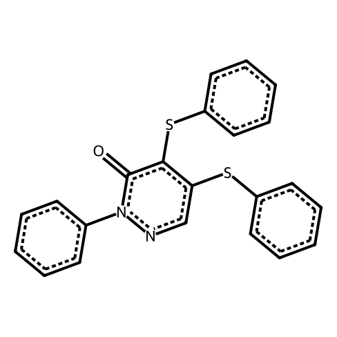 O=c1c(Sc2ccccc2)c(Sc2ccccc2)cnn1-c1ccccc1